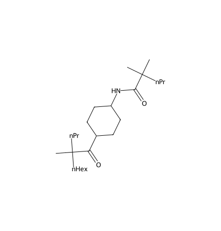 CCCCCCC(C)(CCC)C(=O)C1CCC(NC(=O)C(C)(C)CCC)CC1